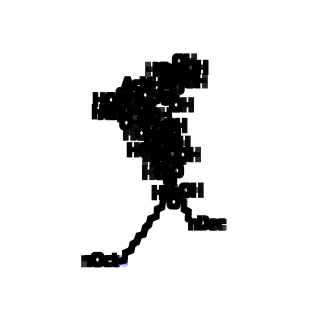 CCCCCCCC/C=C\CCCCCCCCCCCCCC(=O)N[C@@H](CO[C@@H]1OC(CO)[C@@H](O[C@@H]2OC(CO)[C@H](O[C@@H]3OC(CO)[C@H](O)[C@H](O[C@@H]4OC(CO[C@@H]5OC(CO)[C@@H](O[C@@H]6OC(CO)[C@H](O)[C@H](O)C6O)[C@H](O)C5NC(C)=O)[C@H](O)[C@H](O[C@@H]5OC(CO)[C@H](O)[C@H](O)C5O)C4NC(C)=O)C3O)[C@H](O)C2O)[C@H](O)C1O)[C@H](O)/C=C/CCCCCCCCCCCCC